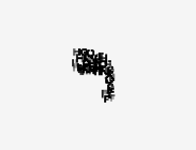 CC1(C)C(NC(=O)O)=N[C@](C)(c2cc(NC(=O)c3ccc(OCC(F)(F)C(F)F)cn3)ccc2F)[C@@H]2CCN[S@@]21O